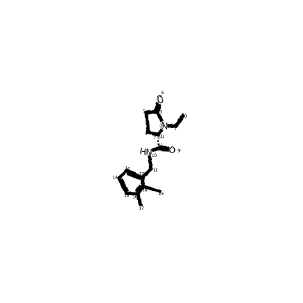 CCN1C(=O)CC[C@H]1C(=O)NCc1cccc(C)c1C